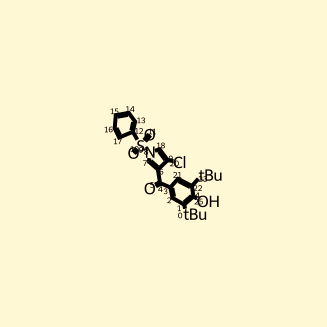 CC(C)(C)c1cc(C(=O)c2cn(S(=O)(=O)c3ccccc3)cc2Cl)cc(C(C)(C)C)c1O